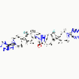 Cc1c(NC(=O)c2ccc(C3=CCN(C(=N)N)CC3)c(F)c2)ccc(C2=CCN(C(=N)N)CC2)c1F